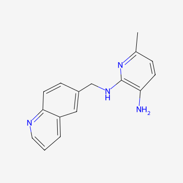 Cc1ccc(N)c(NCc2ccc3ncccc3c2)n1